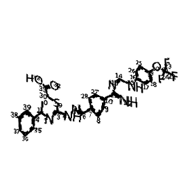 CC(/N=C(/N/N=C/c1ccc(C(=N)/N=C\Nc2ccc(OC(F)(F)F)cc2)cc1)SCC(=O)O)c1ccccc1